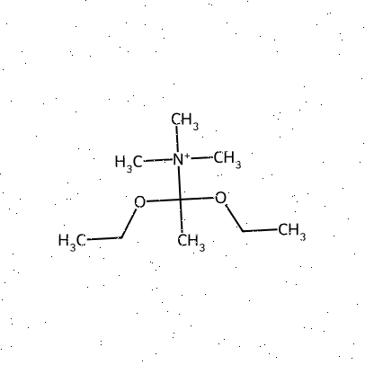 CCOC(C)(OCC)[N+](C)(C)C